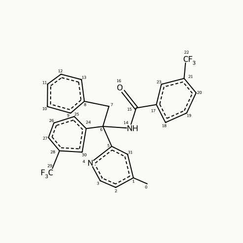 Cc1ccnc(C(Cc2ccccc2)(NC(=O)c2cccc(C(F)(F)F)c2)c2cccc(C(F)(F)F)c2)c1